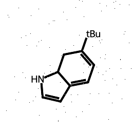 CC(C)(C)C1=CC=C2C=CNC2C1